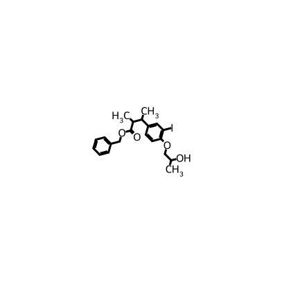 CC(O)COc1ccc(C(C)C(C)C(=O)OCc2ccccc2)cc1I